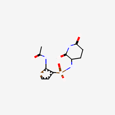 CC(=O)Nc1sccc1S(=O)(=O)NC1CCC(=O)NC1=O